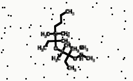 CCCC[Si](C)(C)C(C)(CC)O[Si](C)(C)C(C)(CC)O[SiH](C)C